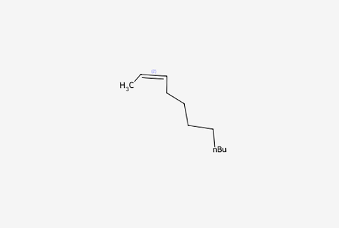 C/C=C\CCCCCCCC